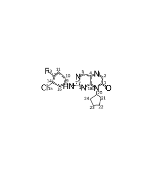 O=c1cnc2cnc(Nc3ccc(F)c(Cl)c3)nc2n1C1CCCC1